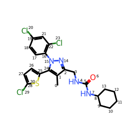 Cc1c(CNC(=O)NC2CCCCC2)nn(-c2ccc(Cl)cc2Cl)c1-c1ccc(Cl)s1